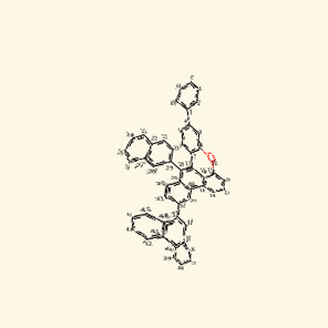 c1ccc(-c2ccc3c(c2)Oc2cccc4c2c-3c(-c2ccc3ccccc3c2)c2ccc(-c3cc5ccccc5c5ccccc35)cc24)cc1